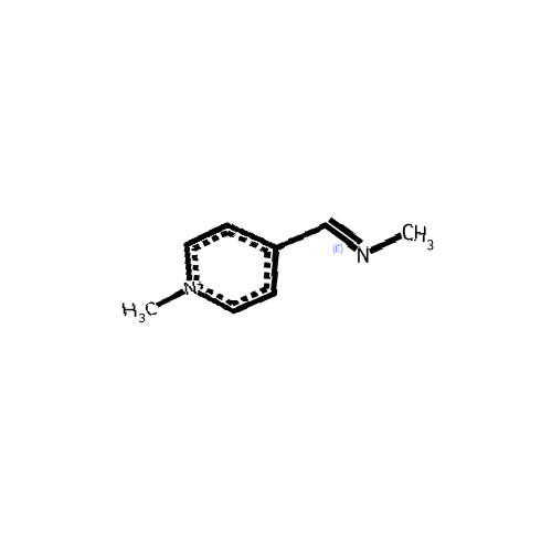 C/N=C/c1cc[n+](C)cc1